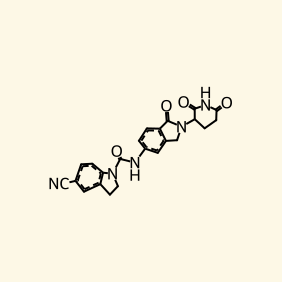 N#Cc1ccc2c(c1)CCN2C(=O)Nc1ccc2c(c1)CN(C1CCC(=O)NC1=O)C2=O